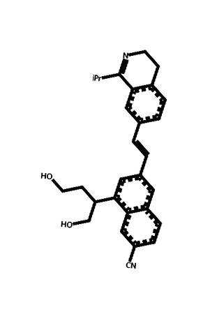 CC(C)C1=NCCc2ccc(/C=C/c3cc(C(CO)CCO)c4cc(C#N)ccc4c3)cc21